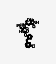 CC(C)CC(NC(=O)OC1CCCC1Cc1cccc(Cl)c1)C(=O)NC(CO)CC1CCNC1=O